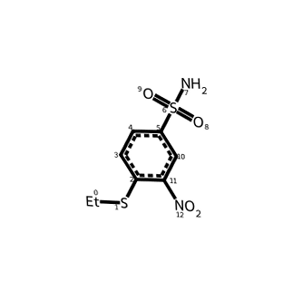 CCSc1ccc(S(N)(=O)=O)cc1[N+](=O)[O-]